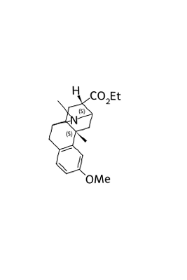 CCOC(=O)[C@H]1CC2C3Cc4ccc(OC)cc4[C@@]2(C)CC1N3C